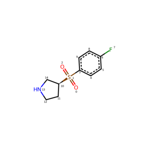 O=S(=O)(c1ccc(F)cc1)[C@H]1CCNC1